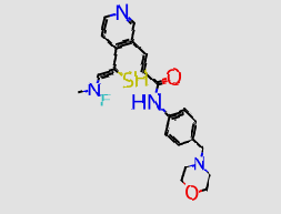 CN(F)/C=C(\S)c1ccncc1/C=C/C(=O)Nc1ccc(CN2CCOCC2)cc1